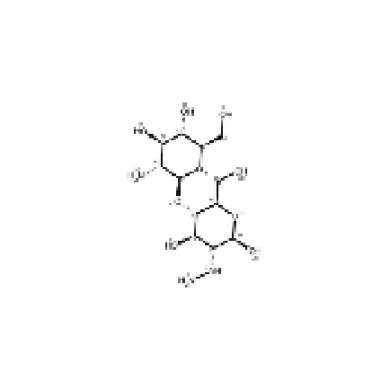 NN[C@@H]1[C@@H](O)[C@H](O[C@@H]2O[C@H](CO)[C@@H](O)[C@H](O)[C@H]2N)[C@@H](CO)O[C@H]1O